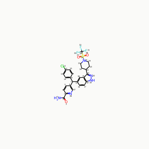 NC(=O)c1ccc(C(c2ccc(Cl)cc2)c2ccc3[nH]nc(C4CCN(S(=O)(=O)C(F)(F)F)CC4)c3c2)cn1